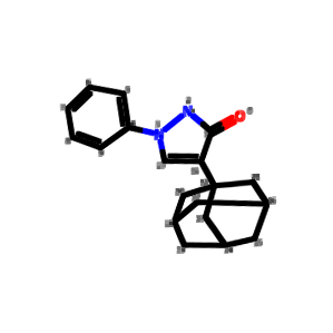 O=C1[N]N(c2ccccc2)C=C1C12CC3CC(CC(C3)C1)C2